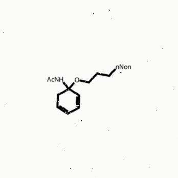 CCCCCCCCCCCCOC1(NC(C)=O)C=CC=CC1